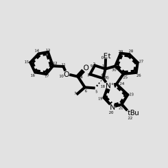 CCC12CC[C@]1(CC(C)C(=O)OCc1ccccc1)[n+]1cnc(C(C)(C)C)cc1-c1ccccc12